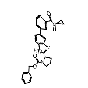 O=C(NC1CC1)c1cccc(-c2ccc3[nH]c([C@@H]4CCCN4C(=O)OCc4ccccc4)nc3c2)c1